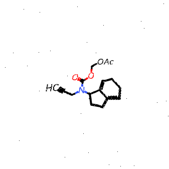 C#CCN(C(=O)OCOC(C)=O)C1CCC2=CCCC=C21